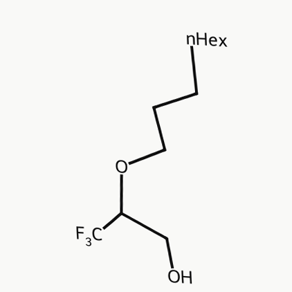 CCCCCCCCCOC(CO)C(F)(F)F